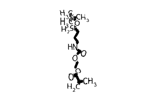 C=C(C)C(=O)OCCOC(=O)NCCC[SiH2]O[Si](C)(C)C